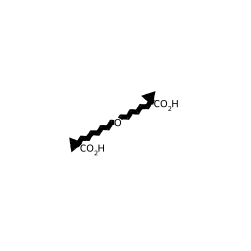 O=C(O)C1(CCCCCCCOCCCCCCC2(C(=O)O)CC2)CC1